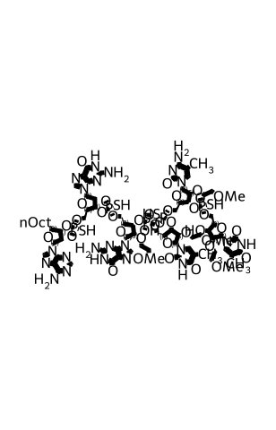 CCCCCCCC[C@H]1O[C@@H](n2cnc3c(N)ncnc32)C[C@H]1OP(=O)(S)OC[C@H]1O[C@@H](n2cnc3c(=O)[nH]c(N)nc32)C[C@H]1OP(=O)(S)OC[C@H]1O[C@@H](n2cnc3c(=O)[nH]c(N)nc32)[C@@H](OCCOC)C1OP(=O)(O)OC[C@H]1O[C@@H](n2cc(C)c(=O)[nH]c2=O)[C@@H](OCCOC)C1OP(=O)(S)OC[C@H]1O[C@@H](n2cc(C)c(N)nc2=O)[C@@H](OCCOC)C1OP(=O)(S)OC[C@H]1O[C@@H](n2cc(C)c(=O)[nH]c2=O)[C@@H](OCCOC)C1O